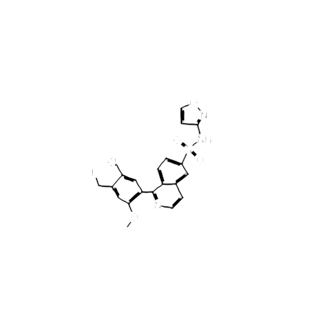 COc1cc(CF)c(Cl)cc1-c1nccc2cc(S(=O)(=O)Nc3ccon3)ccc12